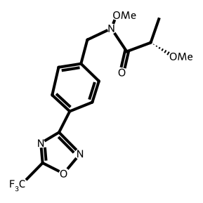 CO[C@@H](C)C(=O)N(Cc1ccc(-c2noc(C(F)(F)F)n2)cc1)OC